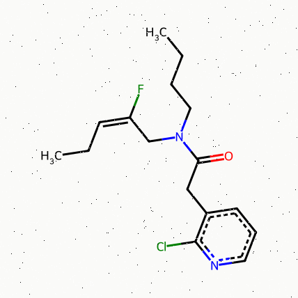 CC/C=C(/F)CN(CCCC)C(=O)Cc1cccnc1Cl